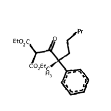 CCOC(=O)C(C(=O)OCC)C(=O)[C@](C)(CCC(C)C)c1ccccc1